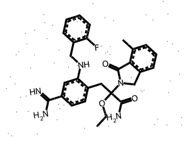 CCOC(Cc1ccc(C(=N)N)cc1NCc1ccccc1F)(C(N)=O)N1Cc2cccc(C)c2C1=O